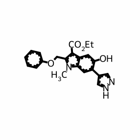 CCOC(=O)c1c(COc2ccccc2)n(C)c2cc(-c3cn[nH]c3)c(O)cc12